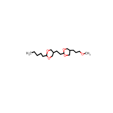 CCCCCC1OCC(CCC2OCC(CCCOC)CO2)CO1